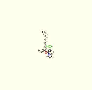 CCCCCCCCCCC(C)OC(C)n1cccc1.Cl